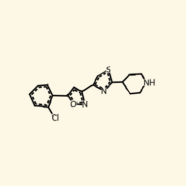 Clc1ccccc1-c1cc(-c2csc(C3CCNCC3)n2)no1